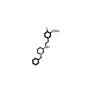 COc1cc(CCN[C@@H]2CCCN(Cc3ccccc3)C2)ccc1I